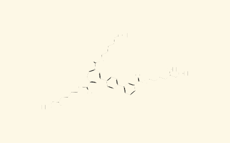 O=C(OCCCCCO)C1=CCC(C(=O)OCCCCC(O)CO)=CC(c2ccc(-c3cccc(C(=O)OCCCCC(O)CO)c3)cc2)=C1